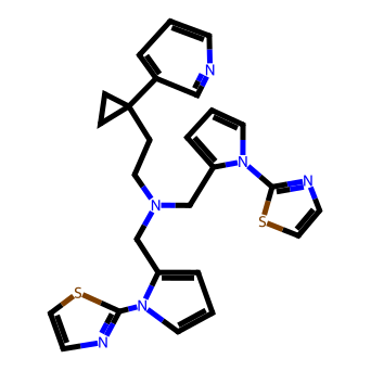 c1cncc(C2(CCN(Cc3cccn3-c3nccs3)Cc3cccn3-c3nccs3)CC2)c1